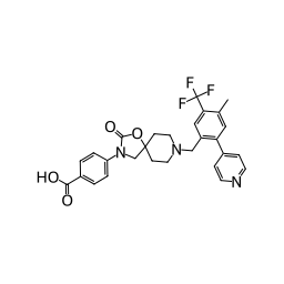 Cc1cc(-c2ccncc2)c(CN2CCC3(CC2)CN(c2ccc(C(=O)O)cc2)C(=O)O3)cc1C(F)(F)F